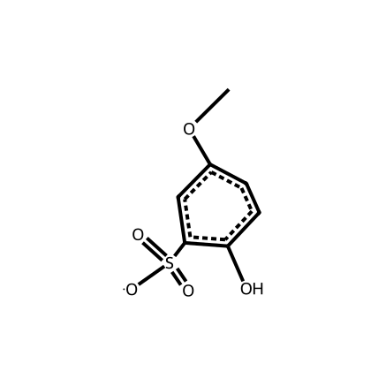 COc1ccc(O)c(S([O])(=O)=O)c1